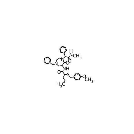 CCCC(SCc1ccc(OC)cc1)C(=O)NC1CN(Cc2ccccc2)CCN(C(C(=O)NC)c2ccccc2)C1=O